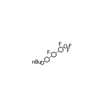 CCCCOc1ccc(-c2ccc(-c3ccc(OC(F)F)c(F)c3)cc2F)cc1